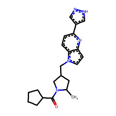 CC1CC(Cn2ccc3nc(-c4cn[nH]c4)ccc32)CN1C(=O)C1CCCC1